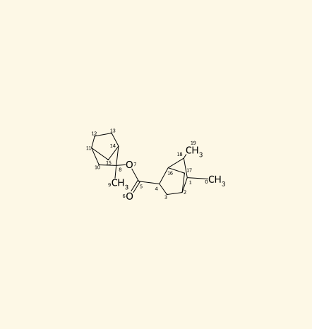 CC1C2CC(C(=O)OC3(C)CC4CCC3C4)C(C2)C1C